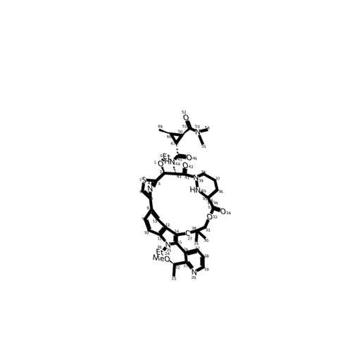 CCO[C@@H]1c2nc(cs2)-c2ccc3c(c2)c(c(-c2cccnc2[C@H](C)OC)n3CC)CC(C)(C)COC(=O)[C@@H]2CCCN(N2)C(=O)[C@H]1NC(=O)[C@@H]1[C@@H](C)[C@H]1C(=O)N(C)C